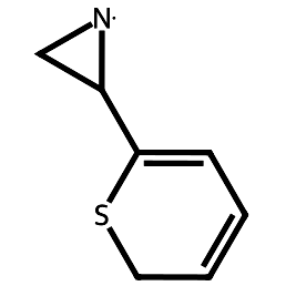 C1=CCSC(C2C[N]2)=C1